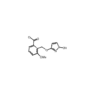 COc1cccc(C(=O)Cl)c1COc1ccn(O)n1